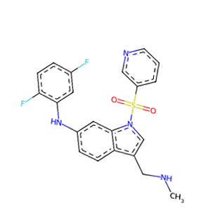 CNCc1cn(S(=O)(=O)c2cccnc2)c2cc(Nc3cc(F)ccc3F)ccc12